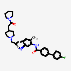 Cc1cc2cc(CN3CCC(CC(=O)N4CCCCC4)CC3)cnc2cc1NC(=O)c1ccc(-c2ccc(F)cc2)cc1